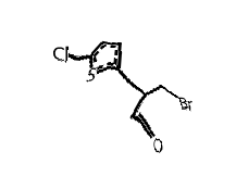 O=CC(CBr)c1ccc(Cl)s1